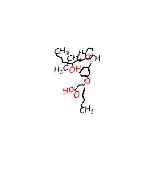 CCCCC[C@H](CC(=O)O)Oc1cccc(C[C@@H]2C(/C=C/C(O)C(C)(C)CCCC)[C@@H]3CC[C@H]2O3)c1